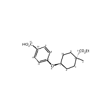 CCOC(=O)[C@]1(C)CC[C@@H](Oc2ccc(C(=O)O)cc2)CC1